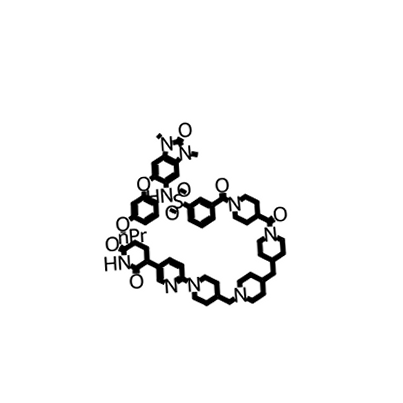 CCCOc1cccc(Oc2cc3c(cc2NS(=O)(=O)c2cccc(C(=O)N4CCC(C(=O)N5CCC(CC6CCN(CC7CCN(c8ccc(C9CCC(=O)NC9=O)cn8)CC7)CC6)CC5)CC4)c2)n(C)c(=O)n3C)c1